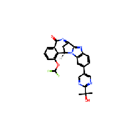 CC(C)(O)c1ncc(-c2ccc3nc4n(c3c2)[C@@H]2CC4=NC(=O)c3cccc(OC(F)F)c32)cn1